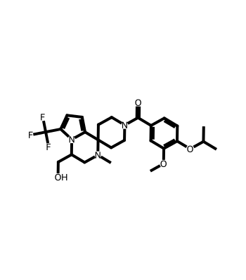 COc1cc(C(=O)N2CCC3(CC2)c2ccc(C(F)(F)F)n2C(CO)CN3C)ccc1OC(C)C